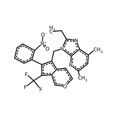 CCc1nc2c(C)cc(C)nc2n1Cc1c2ccocc-2c(C(F)(F)F)c1-c1ccccc1[N+](=O)[O-]